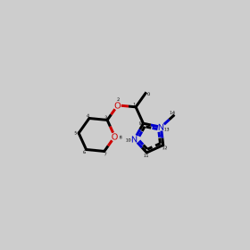 CC(OC1CCCCO1)c1nccn1C